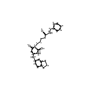 O=C(CCCCn1c(=O)cc(Nc2ccc3c(c2)CCC3)[nH]c1=O)NCc1ccccn1